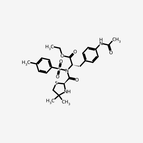 CCOC(=O)[C@H](Cc1ccc(NC(C)=O)cc1)N(C(=O)[C@H]1NC(C)(C)CS1)S(=O)(=O)c1ccc(C)cc1